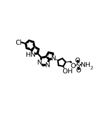 NS(=O)(=O)OC[C@@H]1C[C@@H](n2ccc3c(-c4cc5ccc(Cl)cc5[nH]4)ncnc32)C[C@@H]1O